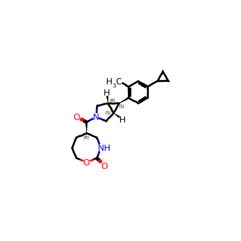 Cc1cc(C2CC2)ccc1[C@H]1[C@@H]2CN(C(=O)[C@@H]3CCCOC(=O)NC3)C[C@@H]21